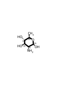 C[C@H]1O[C@@H](O)[C@H](N)[C@@H](O)[C@@H]1O